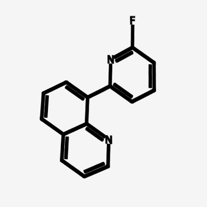 Fc1cccc(-c2cccc3cccnc23)n1